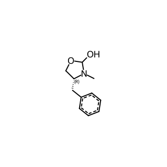 CN1C(O)OC[C@H]1Cc1ccccc1